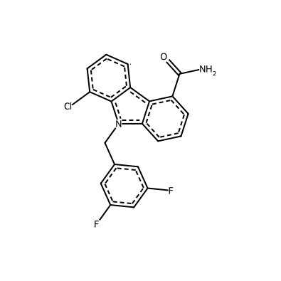 NC(=O)c1cccc2c1c1[c]ccc(Cl)c1n2Cc1cc(F)cc(F)c1